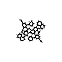 N#Cc1cc(C#N)c(-c2cc3c4cc5c(cc4c(-c4c(C#N)cc(C#N)cc4-c4ccccc4)cc3c3cc4c(cc23)-c2cccc3cccc-4c23)-c2cccc3cccc-5c23)c(-c2ccccc2)c1